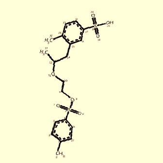 Cc1ccc(S(=O)(=O)OCCOC(C)Cc2cc(S(=O)(=O)O)ccc2C)cc1